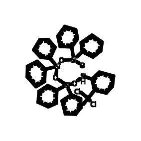 ClC(Cl)(Cl)c1ccccc1[SiH]1O[Si](c2ccccc2)(c2ccccc2)O[Si](c2ccccc2)(c2ccccc2)O[Si](c2ccccc2)(c2ccccc2)O1